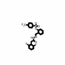 O=C(Cc1c(F)cccc1F)NN=Cc1ccccc1OS(=O)(=O)c1ccc(C(F)(F)F)cc1